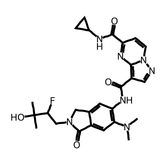 CN(C)c1cc2c(cc1NC(=O)c1cnn3ccc(C(=O)NC4CC4)nc13)CN(CC(F)C(C)(C)O)C2=O